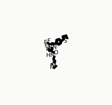 O=C(NCCCn1ccnc1)c1cnn2c(C(F)(F)F)cc(-c3ccc(-c4cccs4)cc3)nc12